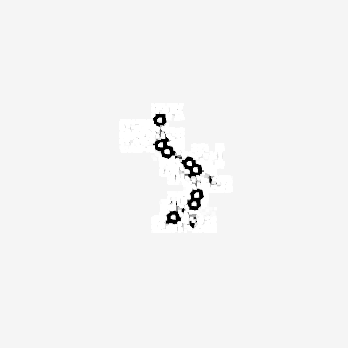 Nc1c(N=Nc2ccc3cc(S(=O)(=O)O)c(N=Nc4ccc(S(=O)(=O)O)cc4C(=O)O)c(O)c3c2)cc(S(=O)(=O)O)c2cc(SOOO)c(N=Nc3ccc4cc(SOOO)c(N=Nc5c(Cl)cc(Cl)cc5C(=O)O)c(O)c4c3)c(O)c12